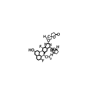 CCc1c(F)ccc2cc(O)cc(-c3c(F)cc4c(N5C[C@H]6CC[C@@H](C5)N6)nc(OCC5(C)CCC(=O)O5)nc4c3F)c12